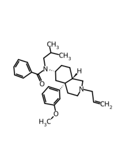 C=CCN1CC[C@@]2(c3cccc(OC)c3)C[C@H](N(CC(C)C)C(=O)c3ccccc3)CC[C@@H]2C1